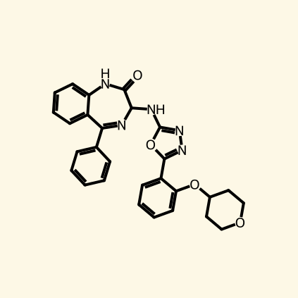 O=C1Nc2ccccc2C(c2ccccc2)=NC1Nc1nnc(-c2ccccc2OC2CCOCC2)o1